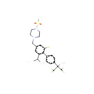 CC(C)c1cc(CN2CCN(S(C)(=O)=O)CC2)cc(F)c1-c1ccc(C(O)(C(F)(F)F)C(F)(F)F)cc1